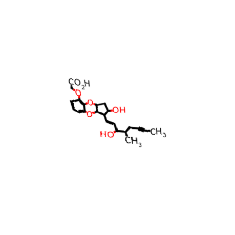 CC#CCC(C)C(O)C=CC1C(O)CC2Oc3c(OCC(=O)O)cccc3OC21